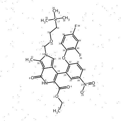 CCOC(=O)c1[nH]c(=O)c2c(C)n(COCC[Si](C)(C)C)cc2c1-c1cc([N+](=O)[O-])ccc1Oc1ccc(F)cc1F